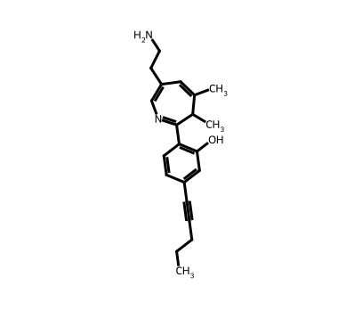 CCCC#Cc1ccc(C2=NC=C(CCN)C=C(C)C2C)c(O)c1